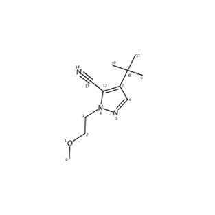 COCCn1ncc(C(C)(C)C)c1C#N